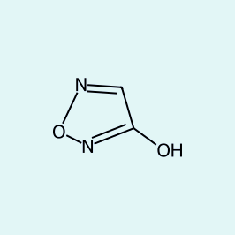 Oc1cnon1